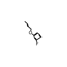 CC=CCOc1cc[c]c(F)c1